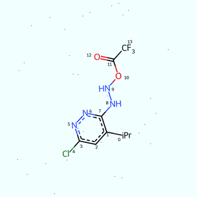 CC(C)c1cc(Cl)nnc1NNOC(=O)C(F)(F)F